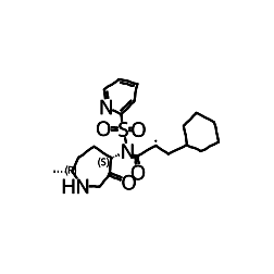 C[C@@H]1CC[C@H](N(C(=O)[CH]CC2CCCCC2)S(=O)(=O)c2ccccn2)C(=O)CN1